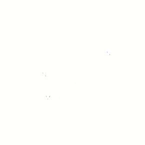 CCC1=NC(C(=O)OC)=C(c2ccc(N(C)C)cc2)C1